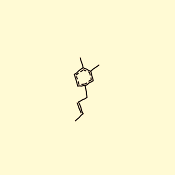 CC=CCc1ccc(C)c(C)c1